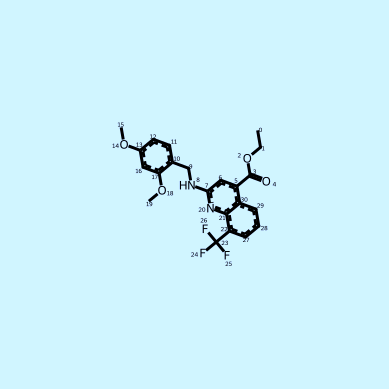 CCOC(=O)c1cc(NCc2ccc(OC)cc2OC)nc2c(C(F)(F)F)cccc12